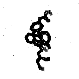 CC(=O)Oc1ccc(C2(c3[nH]ccc(=O)c3C(=O)OCC(O)CO)CC=CC=C2N(C)C)cc1